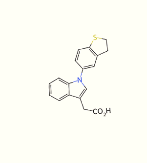 O=C(O)Cc1cn(-c2ccc3c(c2)CCS3)c2ccccc12